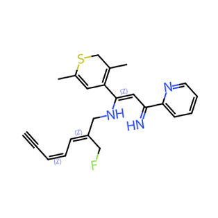 C#C/C=C\C=C(/CF)CN/C(=C\C(=N)c1ccccn1)C1=C(C)CSC(C)=C1